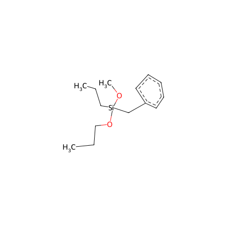 CCCO[Si](CCC)(Cc1ccccc1)OC